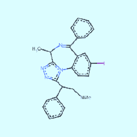 CNCC(c1ccccc1)c1nnc2n1-c1ccc(I)cc1C(c1ccccc1)=NC2C